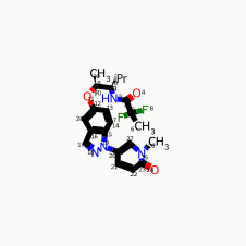 CC(C)[C@H](NC(=O)C(C)(F)F)[C@@H](C)Oc1ccc2c(cnn2-c2ccc(=O)n(C)c2)c1